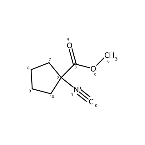 [C-]#[N+]C1(C(=O)OC)CCCC1